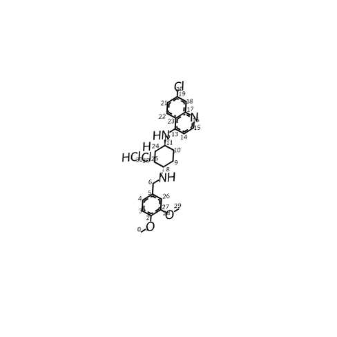 COc1ccc(CN[C@H]2CC[C@H](Nc3ccnc4cc(Cl)ccc34)CC2)cc1OC.Cl.Cl